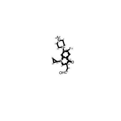 CC(=O)N1CCN(c2cc3c(cc2F)c(=O)c(CC=O)cn3C2CC2)CC1